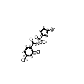 O=C(NS(=O)(=O)c1ccc(Br)s1)c1ccc(Cl)cc1Cl